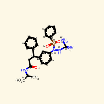 CC(NC(=O)CC(c1ccccc1)c1cccc(N(NC(=N)N)S(=O)(=O)c2ccccc2)c1)C(=O)O